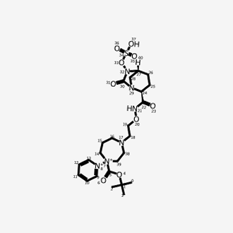 CC(C)(C)OC(=O)[N+]1([n+]2ccccc2)CCCN(CCONC(=O)[C@@H]2CC[C@@H]3CN2C(=O)N3OS(=O)(=O)O)CC1